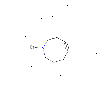 CCN1CCC#CCCC1